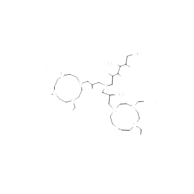 O=C(O)CN1CCN(CC(=O)O)CCN(C(=O)O)CCN(CC(O)CN(CC(O)CN2CCN(CC(=O)O)CCN(C(=O)O)CCN(C(=O)O)CC2)CC(O)C(O)C(O)C(O)CO)CC1